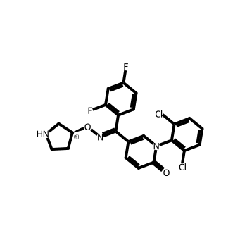 O=c1ccc(C(=NO[C@H]2CCNC2)c2ccc(F)cc2F)cn1-c1c(Cl)cccc1Cl